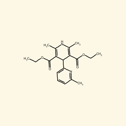 CCOC(=O)C1=C(C)NC(C)=C(C(=O)OCC)C1c1cccc(C)n1